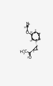 CC(=O)[C@@H]1C[C@H]1c1cccc(OC#N)c1